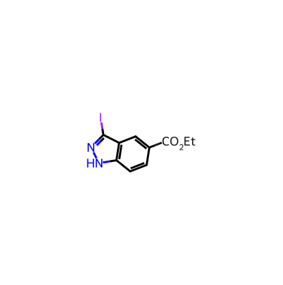 CCOC(=O)c1ccc2[nH]nc(I)c2c1